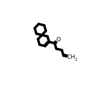 C=CCCC(=O)C1=CCCC2(CCCCC2)C1